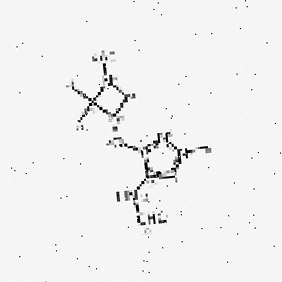 CC(=O)N1C[C@H](Oc2nn(C)cc2NC=O)C1(C)C